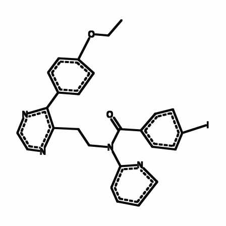 CCOc1ccc(-c2nccnc2CCN(C(=O)c2ccc(I)cc2)c2ccccn2)cc1